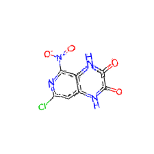 O=c1[nH]c2cc(Cl)nc([N+](=O)[O-])c2[nH]c1=O